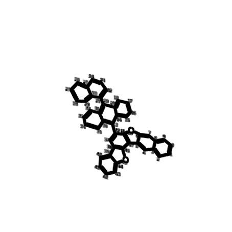 c1ccc2cc3c(cc2c1)oc1c(-c2c4ccccc4c(-c4cccc5ccccc45)c4ccccc24)cc2c4ccccc4oc2c13